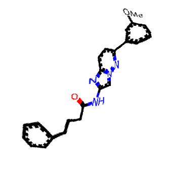 COc1cccc(-c2ccc3nc(NC(=O)CCCc4ccccc4)cn3n2)c1